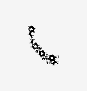 O=S(=O)(Nc1ccc(Cl)c2c(Cl)c[nH]c12)c1ccc(S(=O)(=O)N2CCN(CCOCCc3ccccn3)CC2)cc1